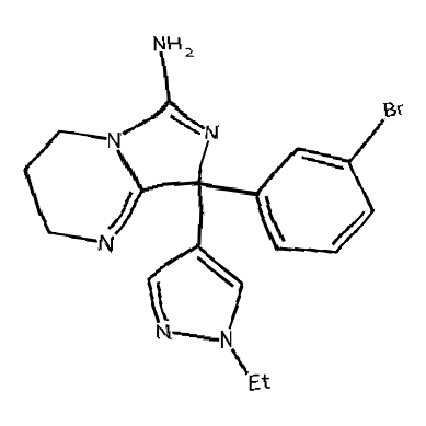 CCn1cc(C2(c3cccc(Br)c3)N=C(N)N3CCCN=C32)cn1